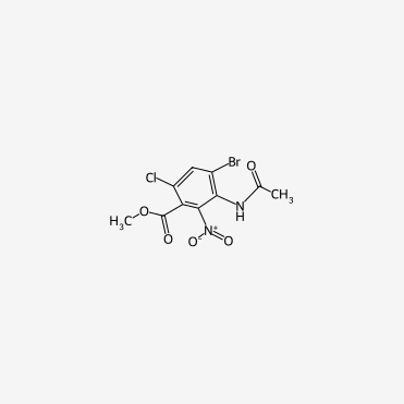 COC(=O)c1c(Cl)cc(Br)c(NC(C)=O)c1[N+](=O)[O-]